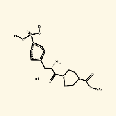 CCCCOC(=O)N1CCN(C(=O)[C@@H](N)Cc2ccc(P(=O)(OCC)OCC)cc2)CC1.Cl